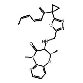 C=C(/C=C\C=C/C)C1(c2nnc(CN[C@@H]3C(=O)N(C)c4ncccc4O[C@@H]3C)o2)CC1